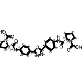 O=C(Nc1ccc(-c2nnc(-c3ccc(NC(=O)[C@@H]4CCCN4C(=O)O)cc3)o2)cc1)[C@@H]1CCCN1C(=O)O